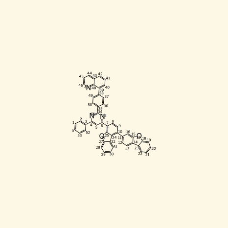 c1ccc(-c2cc(-c3ccc(-c4ccc5c(c4)oc4ccccc45)c4c3oc3ccccc34)nc(-c3ccc(-c4cccc5cccnc45)cc3)n2)cc1